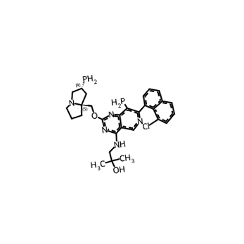 CC(C)(O)CNc1nc(OC[C@@]23CCCN2C[C@H](P)C3)nc2c(P)c(-c3cccc4cccc(Cl)c34)ncc12